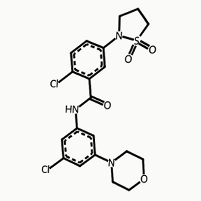 O=C(Nc1cc(Cl)cc(N2CCOCC2)c1)c1cc(N2CCCS2(=O)=O)ccc1Cl